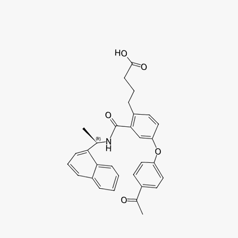 CC(=O)c1ccc(Oc2ccc(CCCC(=O)O)c(C(=O)N[C@H](C)c3cccc4ccccc34)c2)cc1